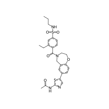 CCCNS(=O)(=O)c1ccc(C(=O)N2CCOc3ccc(-c4cnc(NC(C)=O)s4)cc3C2)c(CC)c1